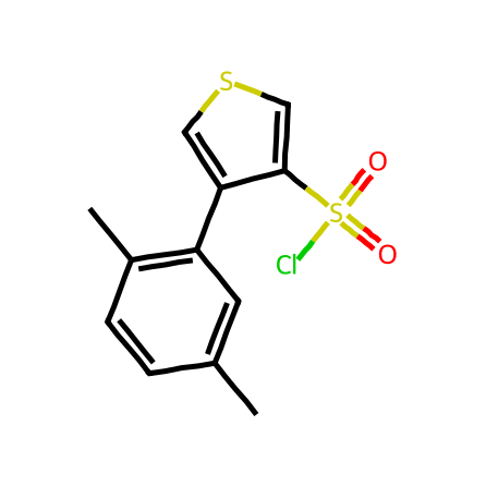 Cc1ccc(C)c(-c2cscc2S(=O)(=O)Cl)c1